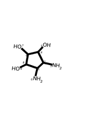 NC1C(N)C(O)C(O)C1O